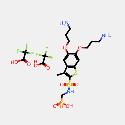 Cc1c(S(=O)(=O)NC[PH](=O)O)sc2cc(OCCCN)c(OCCCN)cc12.O=C(O)C(F)(F)F.O=C(O)C(F)(F)F